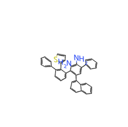 Nc1c(-c2ccccc2)cc(-c2cccc3ccccc23)c(-c2cccc(-c3ccccc3)c2-c2cccs2)c1N